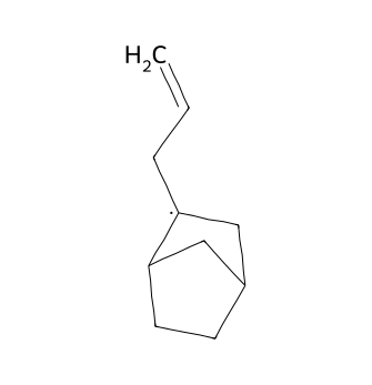 C=CC[C]1CC2CCC1C2